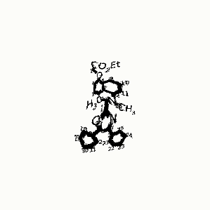 CCOC(=O)COc1cccc2c1CCCC2N(C)C(C)c1nc(-c2ccccc2)c(-c2ccccc2)o1